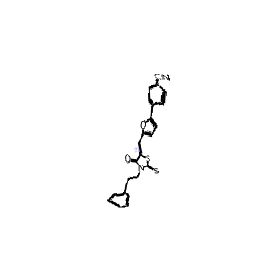 N#Cc1ccc(-c2ccc(/C=C3\SC(=S)N(CCc4ccccc4)C3=O)o2)cc1